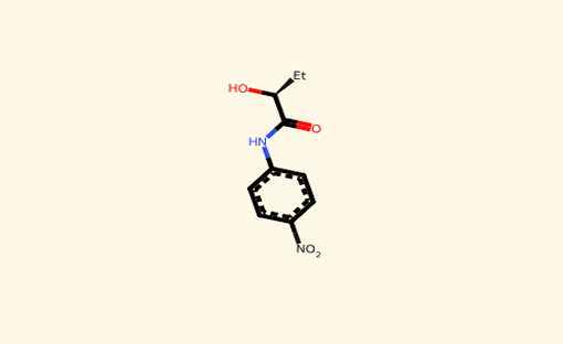 CC[C@H](O)C(=O)Nc1ccc([N+](=O)[O-])cc1